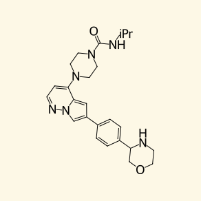 CC(C)NC(=O)N1CCN(c2ccnn3cc(-c4ccc(C5COCCN5)cc4)cc23)CC1